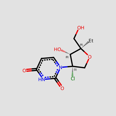 CC[C@]1(CO)OC[C@@](Cl)(n2ccc(=O)[nH]c2=O)[C@@H]1O